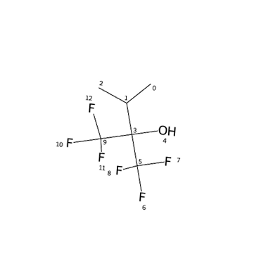 CC(C)C(O)(C(F)(F)F)C(F)(F)F